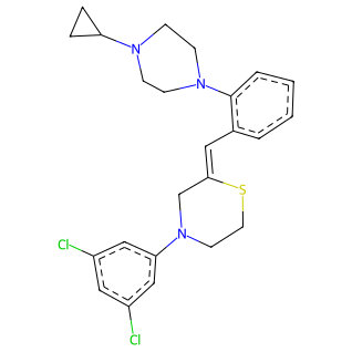 Clc1cc(Cl)cc(N2CCSC(=Cc3ccccc3N3CCN(C4CC4)CC3)C2)c1